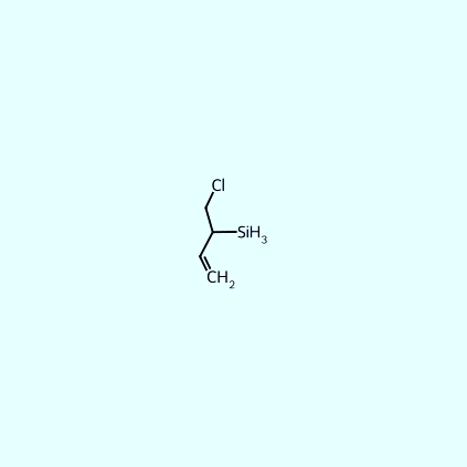 C=CC([SiH3])CCl